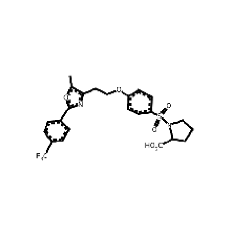 Cc1oc(-c2ccc(C(F)(F)F)cc2)nc1CCOc1ccc(S(=O)(=O)N2CCCC2C(=O)O)cc1